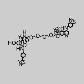 Cc1ncsc1-c1ccc(CNC(=O)[C@@H]2C[C@@H](O)CN2C(=O)[C@@H](NC(=O)COCCOCCOCCOCCOc2cc3nccc(Nc4ccc5scnc5c4)c3cc2S(=O)(=O)C(C)(C)C)C(C)(C)C)cc1